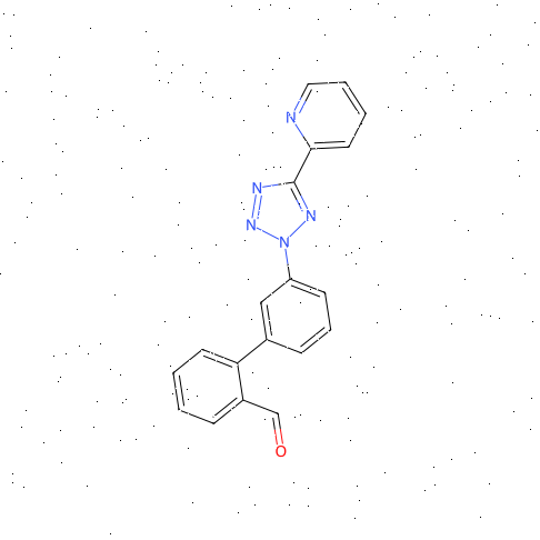 O=Cc1ccccc1-c1cccc(-n2nnc(-c3ccccn3)n2)c1